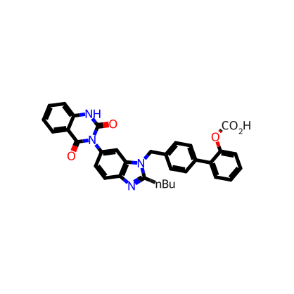 CCCCc1nc2ccc(-n3c(=O)[nH]c4ccccc4c3=O)cc2n1Cc1ccc(-c2ccccc2OC(=O)O)cc1